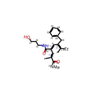 CC/C(C)=C(/C=C(\C=C(/C)C(=O)NC)C(=O)NCCCO)Cc1ccccc1